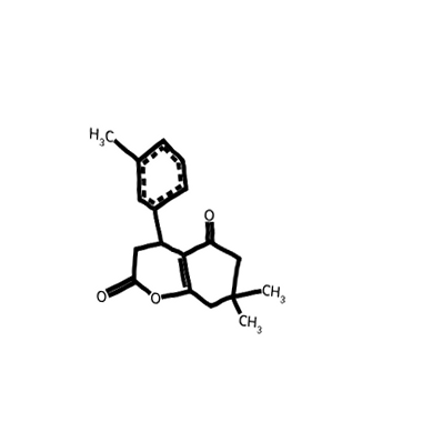 Cc1cccc(C2CC(=O)OC3=C2C(=O)CC(C)(C)C3)c1